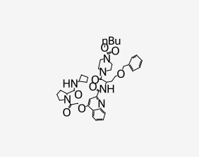 CCCCOC(=O)N1CCN(C(=O)C(CCOCc2ccccc2)NC(=O)c2cc(OCC(=O)N3CCCC3C(=O)NC3CCC3)c3ccccc3n2)CC1